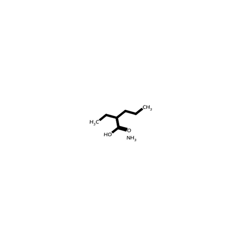 CCCC(CC)C(=O)O.N